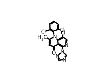 Cc1cc(=O)c2c(-n3cncn3)ncc(Cl)c2n1-c1c(Cl)cccc1Cl